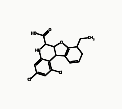 CCC1CC=CC2=C1OC1C(C(=O)O)Nc3cc(Cl)cc(Cl)c3C21